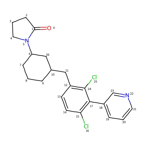 O=C1CCCN1C1CCCC(Cc2ccc(Cl)c(-c3cccnc3)c2Cl)C1